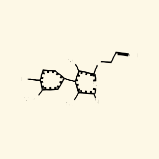 C=CCSc1nc(N)c(C#N)c(-c2ccc(O)c(OC)c2)c1C#N